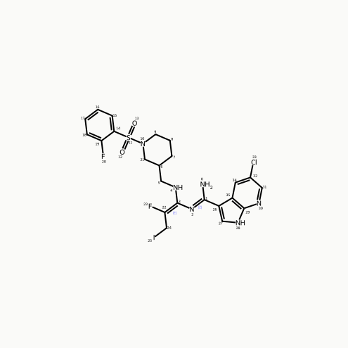 N/C(=N\C(NCC1CCCN(S(=O)(=O)c2ccccc2F)C1)=C(\F)CI)c1c[nH]c2ncc(Cl)cc12